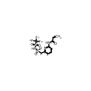 C=CC(=O)Nc1cccc(CS(=O)(=O)NS(=O)(=O)C(F)(F)F)n1